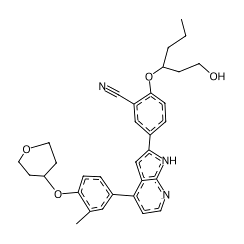 CCCC(CCO)Oc1ccc(-c2cc3c(-c4ccc(OC5CCOCC5)c(C)c4)ccnc3[nH]2)cc1C#N